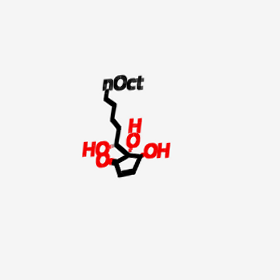 CCCCCCCCCCCC[C@@H](O)[C@]1(O)C(=O)C=C[C@@H]1O